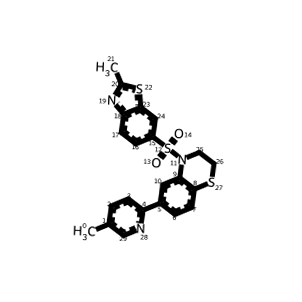 Cc1ccc(-c2ccc3c(c2)N(S(=O)(=O)c2ccc4nc(C)sc4c2)CCS3)nc1